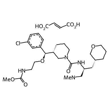 CNC[C@H](C[C@H]1CCCOC1)NC(=O)N1CCC[C@@H]([C@@H](OCCNC(=O)OC)c2cccc(Cl)c2)C1.O=C(O)/C=C/C(=O)O